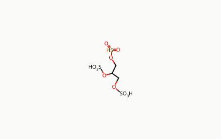 O=[SH](=O)OCC(COS(=O)(=O)O)OS(=O)(=O)O